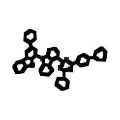 C1=CCCC(C2=CC3c4ccccc4OC3C(n3c4ccccc4c4c(-c5nc(-c6ccccc6)nc(-c6ccc(-c7ccccc7)cc6)n5)cccc43)=C2)=C1